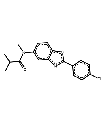 CC(C)C(=O)N(C)c1ccc2oc(-c3ccc(Cl)cc3)nc2c1